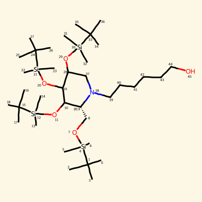 CC(C)(C)[Si](C)(C)OC[C@@H]1C(O[Si](C)(C)C(C)(C)C)C(O[Si](C)(C)C(C)(C)C)C(O[Si](C)(C)C(C)(C)C)CN1CCCCCCO